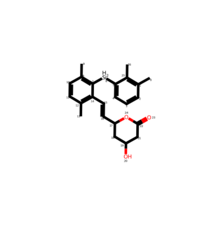 Cc1cccc([SiH2]c2c(C)ccc(C)c2C=CC2CC(O)CC(=O)O2)c1C